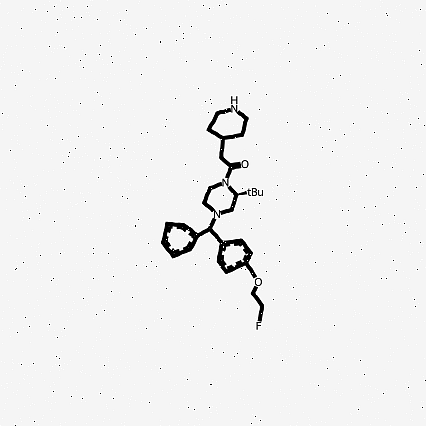 CC(C)(C)[C@H]1CN(C(c2ccccc2)c2ccc(OCCF)cc2)CCN1C(=O)CC1CCNCC1